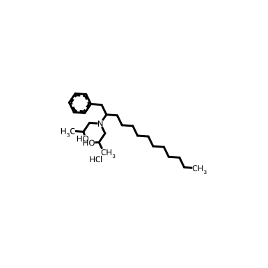 CCCCCCCCCCCC(Cc1ccccc1)N(CC(C)O)CC(C)O.Cl